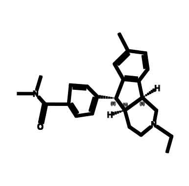 CCN1CC[C@H]2[C@H](c3ccc(C(=O)N(C)C)cc3)c3cc(C)ccc3[C@H]2C1